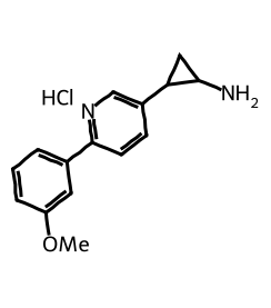 COc1cccc(-c2ccc(C3CC3N)cn2)c1.Cl